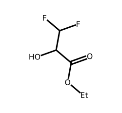 CCOC(=O)C(O)C(F)F